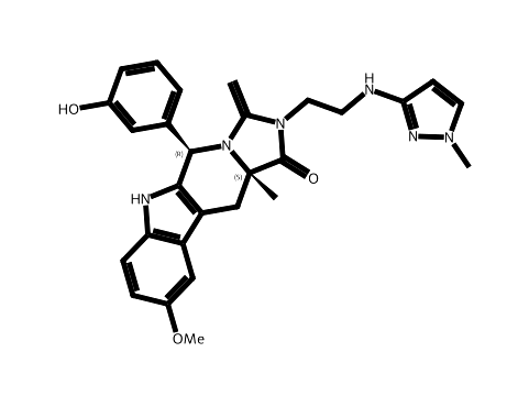 C=C1N(CCNc2ccn(C)n2)C(=O)[C@]2(C)Cc3c([nH]c4ccc(OC)cc34)[C@@H](c3cccc(O)c3)N12